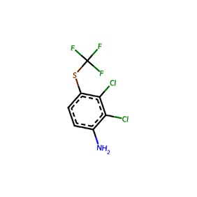 Nc1ccc(SC(F)(F)F)c(Cl)c1Cl